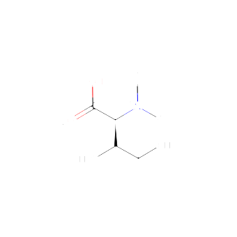 CCC(C)[C@@H](C(=O)O)N(C)C